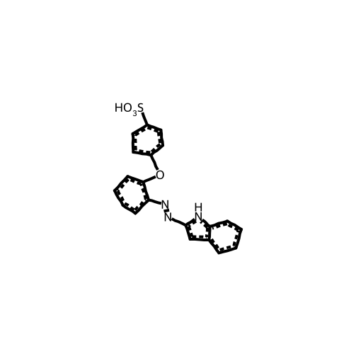 O=S(=O)(O)c1ccc(Oc2ccccc2N=Nc2cc3ccccc3[nH]2)cc1